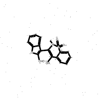 CN1C(c2c(C=O)oc3ccccc23)=C(O)c2ccccc2S1(=O)=O